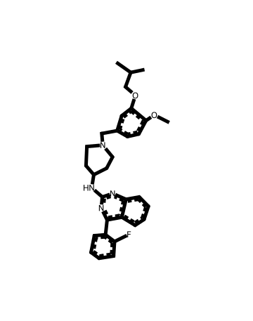 COc1ccc(CN2CCC(Nc3nc(-c4ccccc4F)c4ccccc4n3)CC2)cc1OCC(C)C